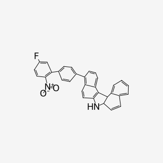 O=[N+]([O-])c1ccc(F)cc1-c1ccc(-c2cccc3c4c(ccc23)NC2C=Cc3ccccc3C42)cc1